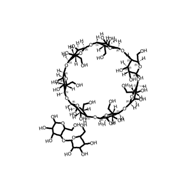 OCC1OC(OC2C(CO)OC(O)C(O)C2O)C(O)C(O)C1O.OC[C@H]1O[C@@H]2O[C@H]3[C@H](O)[C@@H](O)[C@@H](O[C@H]4[C@H](O)[C@@H](O)[C@@H](O[C@H]5[C@H](O)[C@@H](O)[C@@H](O[C@H]6[C@H](O)[C@@H](O)[C@@H](O[C@H]7[C@H](O)[C@@H](O)[C@@H](O[C@H]8[C@H](O)[C@@H](O)[C@@H](O[C@H]1[C@H](O)[C@H]2O)O[C@@H]8CO)O[C@@H]7CO)O[C@@H]6CO)O[C@@H]5CO)O[C@@H]4CO)O[C@@H]3CO